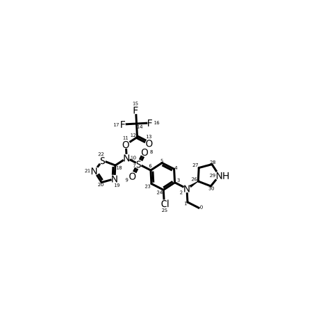 CCN(c1ccc(S(=O)(=O)N(OC(=O)C(F)(F)F)c2ncns2)cc1Cl)[C@H]1CCNC1